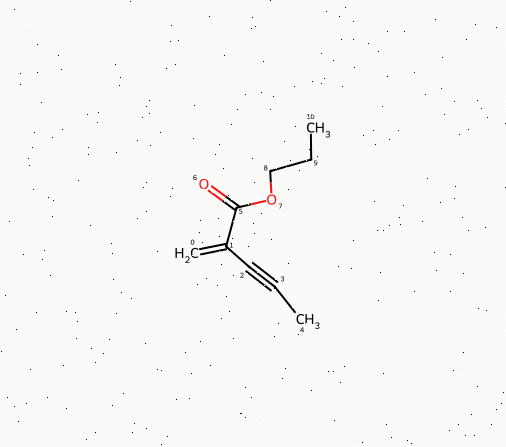 C=C(C#CC)C(=O)OCCC